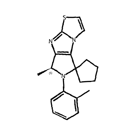 Cc1ccccc1N1[C@@H](C)c2nc3sccn3c2C12CCCC2